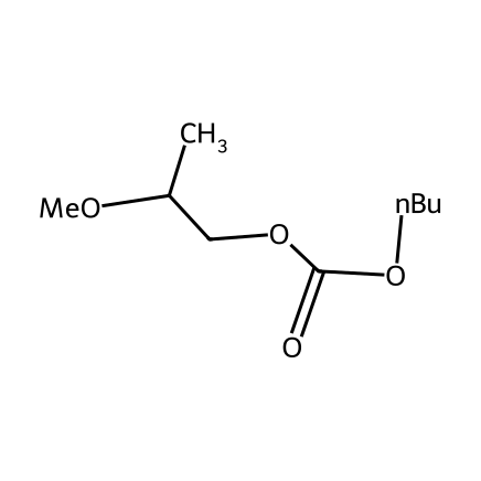 CCCCOC(=O)OCC(C)OC